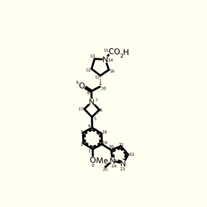 COc1ccc(C2CN(C(=O)C[C@@H]3CCN(C(=O)O)C3)C2)cc1-c1ccnn1C